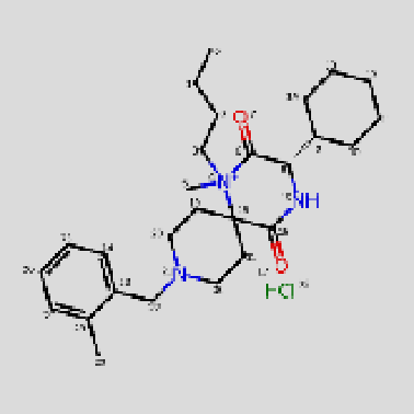 CCCC[N+]1(C)C(=O)[C@H](C2CCCCC2)NC(=O)C12CCN(Cc1ccccc1C)CC2.Cl